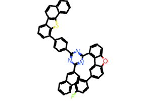 Fc1ccc(-c2ccc3oc4cccc(-c5nc(-c6ccc(-c7cccc8c7sc7c9ccccc9ccc87)cc6)nc(-c6ccc7ccccc7c6)n5)c4c3c2)cc1